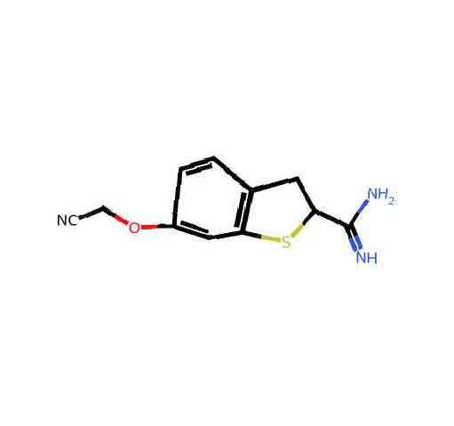 N#CCOc1ccc2c(c1)SC(C(=N)N)C2